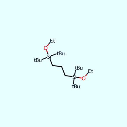 CCO[Si](CCC[Si](OCC)(C(C)(C)C)C(C)(C)C)(C(C)(C)C)C(C)(C)C